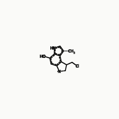 Cc1c[nH]c2c(O)cc3c(c12)C(CCl)C[N]3